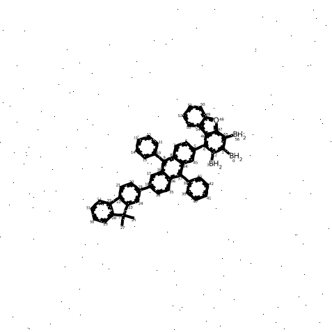 Bc1c(B)c(-c2ccc3c(-c4ccccc4)c4cc(-c5ccc6c(c5)C(C)(C)c5ccccc5-6)ccc4c(-c4ccccc4)c3c2)c2c(oc3ccccc32)c1B